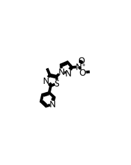 CO[N+](=O)c1ccn(-c2sc(-c3cccnc3)nc2C)n1